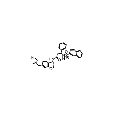 CC(C)CN(C)Cc1ccc2c(c1)OCCC2NC(=O)CC(NS(=O)(=O)c1ccc2ccccc2c1)c1ccccc1